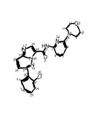 O=C(Nc1cccc(N2CCOCC2)n1)c1cnc2ccc(-c3ccccc3Cl)nn12